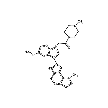 COc1ccc2c(c1)c(-c1cc3c(ncc4cnn(C)c43)[nH]1)cn2CC(=O)N1CCN(C)CC1